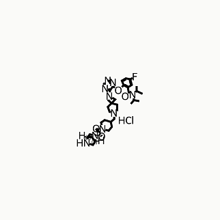 CC(C)N(C(=O)c1cc(F)ccc1Oc1nncnc1N1CC2(CCN(CC3CCN(S(=O)(=O)N4C[C@@H]5C[C@H]4CN5)CC3)CC2)C1)C(C)C.Cl